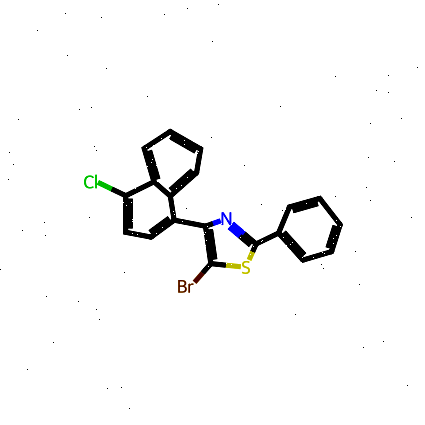 Clc1ccc(-c2nc(-c3ccccc3)sc2Br)c2ccccc12